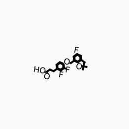 CC1(C)Cc2cc(F)cc(COc3ccc(CCC(=O)O)c(F)c3F)c2O1